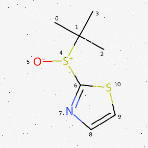 CC(C)(C)[S+]([O-])c1nccs1